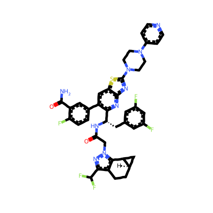 NC(=O)c1cc(-c2cc3sc(N4CCN(c5ccncc5)CC4)nc3nc2[C@H](Cc2cc(F)cc(F)c2)NC(=O)Cn2nc(C(F)F)c3c2C2C[C@H]2CC3)ccc1F